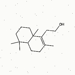 CC1=C(CCO)C2(C)CCCC(C)(C)C2CC1